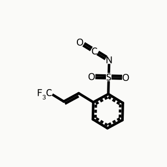 O=C=NS(=O)(=O)c1ccccc1C=CC(F)(F)F